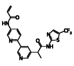 C=CC(=O)Nc1ccc(-c2cncc(C(C)C(=O)Nc3ncc(C(F)(F)F)s3)c2)nc1